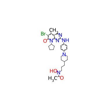 CC(=O)N(O)CCCC1CCN(c2ccc(Nc3ncc4c(C)c(Br)c(=O)n(C5CCCC5)c4n3)cc2)CC1